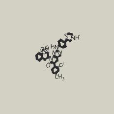 Cc1ccc(-c2cc3cnc(Nc4ccc(C5CNCCS5)cc4)nc3n(C3Cc4ccccc4S(=O)(=O)C3)c2=O)c(Cl)c1